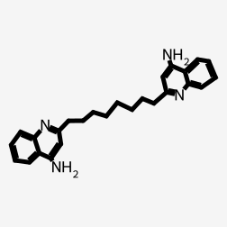 Nc1cc(CCCCCCCCc2cc(N)c3ccccc3n2)nc2ccccc12